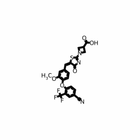 COc1cc(C=C2SC(N3CC(C(=O)O)C3)=NC2=O)ccc1Oc1ccc(C#N)cc1C(F)(F)F